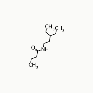 CCCC(=O)NCCC(CC)CC